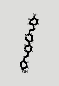 Oc1ccc(C=Cc2ccc(-c3ccc(C=Cc4ccc(O)cc4)nc3)cn2)cc1